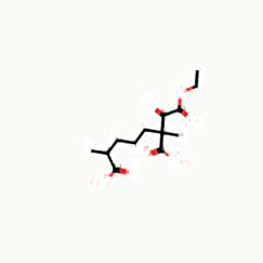 CCOC(=O)C(=O)C(C)(CCCC(C)C(=O)O)C(=O)O